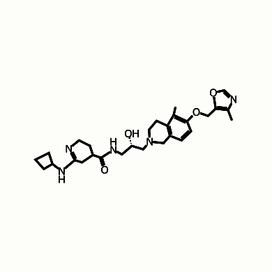 Cc1ncoc1COc1ccc2c(c1C)CCN(C[C@@H](O)CNC(=O)C1CCN=C(NC3CCC3)C1)C2